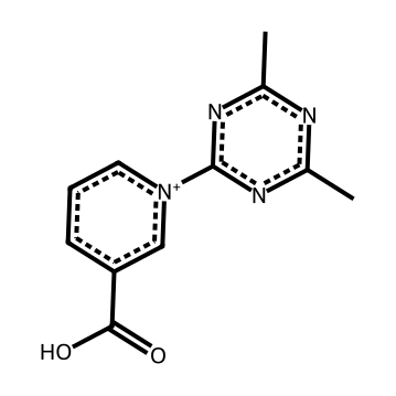 Cc1nc(C)nc(-[n+]2cccc(C(=O)O)c2)n1